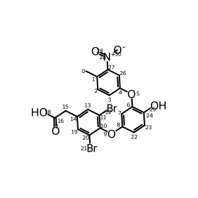 Cc1ccc(Oc2cc(Oc3c(Br)cc(CC(=O)O)cc3Br)ccc2O)cc1[N+](=O)[O-]